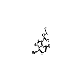 CCOC(=O)c1cnn2c(Br)ccc(F)c12